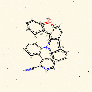 N#Cc1ncccc1-c1ccccc1-n1c2ccccc2c2ccc3oc4ccccc4c3c21